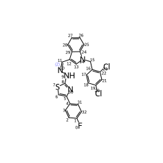 Fc1ccc(-c2csc(N/N=C\c3cn(Cc4ccc(Cl)cc4Cl)c4ccccc34)n2)cc1